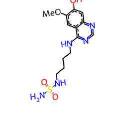 COc1cc2c(NCCCCNS(N)(=O)=O)ncnc2cc1O